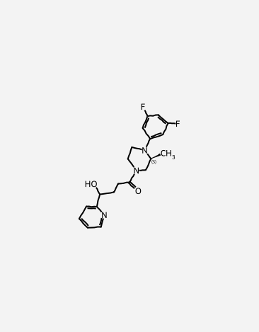 C[C@H]1CN(C(=O)CCC(O)c2ccccn2)CCN1c1cc(F)cc(F)c1